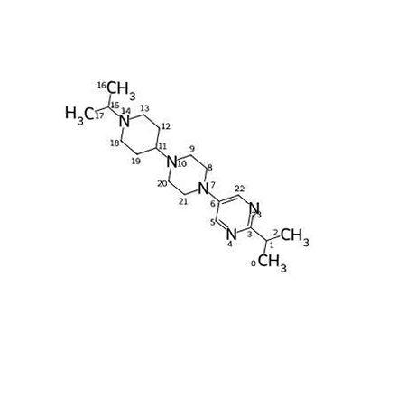 CC(C)c1ncc(N2CCN(C3CCN(C(C)C)CC3)CC2)cn1